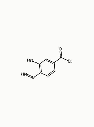 CCC(=O)c1ccc(N=N)c(O)c1